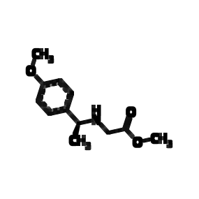 COC(=O)CN[C@@H](C)c1ccc(OC)cc1